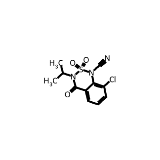 CC(C)N1C(=O)c2cccc(Cl)c2N(C#N)S1(=O)=O